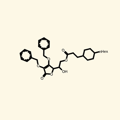 CCCCCCC1CCC(CCC(=O)OCC(O)C2OC(=O)C(OCc3ccccc3)=C2OCc2ccccc2)CC1